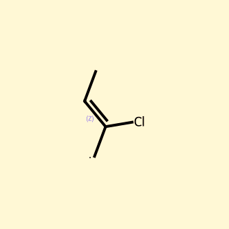 [CH2]/C(Cl)=C/C